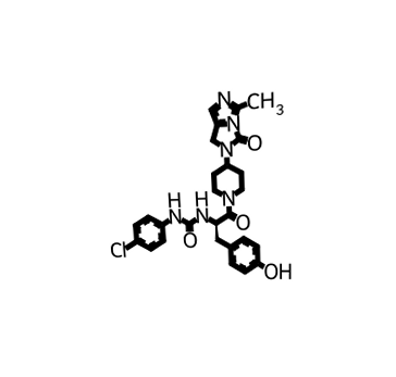 Cc1ncc2n1C(=O)N(C1CCN(C(=O)[C@@H](Cc3ccc(O)cc3)NC(=O)Nc3ccc(Cl)cc3)CC1)C2